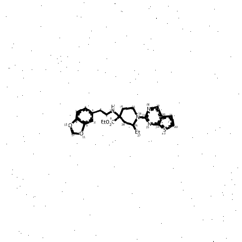 CCOC(=O)C1(NCCc2ccc3c(c2)OCO3)CCN(c2ncc3ccsc3n2)C(CC)C1